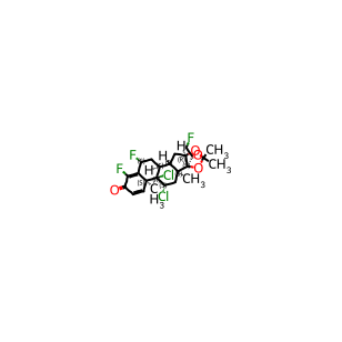 CC1(C)O[C@@H]2C[C@H]3[C@@H]4C[C@H](F)C5=C(F)C(=O)C=C[C@]5(C)[C@@]4(Cl)[C@@H](Cl)C[C@]3(C)[C@]2(C(=O)CF)O1